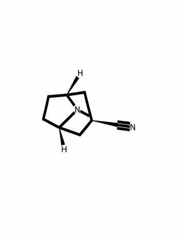 CN1[C@@H]2CC[C@H]1C[C@H](C#N)C2